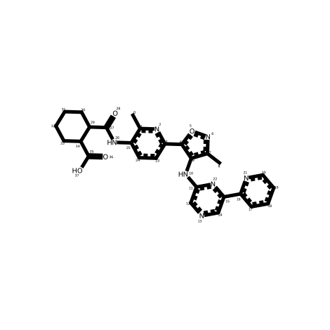 Cc1nc(-c2onc(C)c2Nc2cncc(-c3ccccn3)n2)ccc1NC(=O)C1CCCCC1C(=O)O